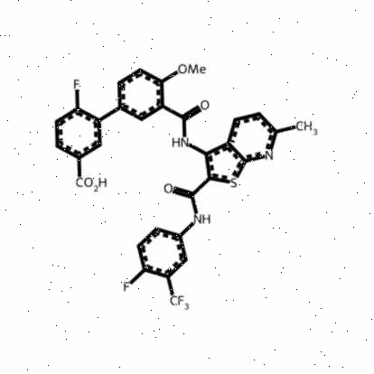 COc1ccc(-c2cc(C(=O)O)ccc2F)cc1C(=O)Nc1c(C(=O)Nc2ccc(F)c(C(F)(F)F)c2)sc2nc(C)ccc12